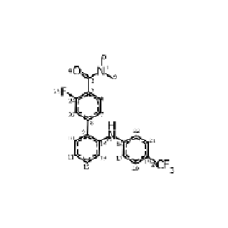 CN(C)C(=O)c1ccc(-c2ccccc2Nc2ccc(C(F)(F)F)cc2)cc1F